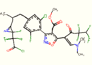 COC(=O)c1c(-c2c(F)cc(CC(C)C3=NC3(F)C(F)(F)C(=O)Cl)cc2Cl)noc1/C(=C/N(C)C)C(=O)C(F)(F)C(F)F